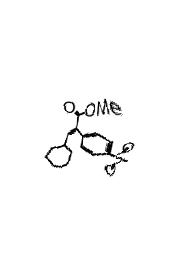 COC(=O)C(=CC1CCCCC1)c1ccc(S(C)(=O)=O)cc1